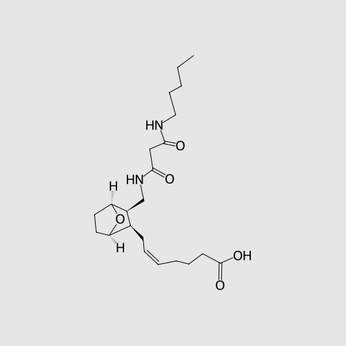 CCCCCNC(=O)CC(=O)NC[C@H]1[C@@H](C/C=C\CCCC(=O)O)[C@H]2CC[C@@H]1O2